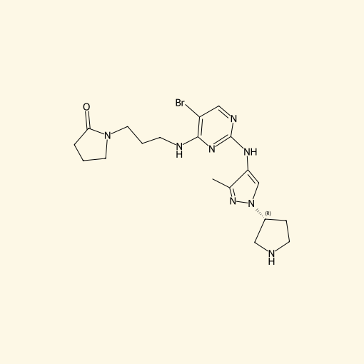 Cc1nn([C@@H]2CCNC2)cc1Nc1ncc(Br)c(NCCCN2CCCC2=O)n1